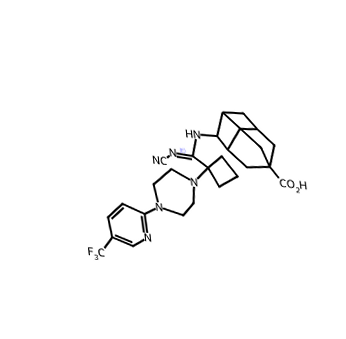 N#C/N=C(/NC1C2CC3CC1CC(C(=O)O)(C3)C2)C1(N2CCN(c3ccc(C(F)(F)F)cn3)CC2)CCC1